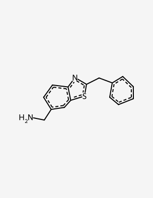 NCc1ccc2nc(Cc3ccccc3)sc2c1